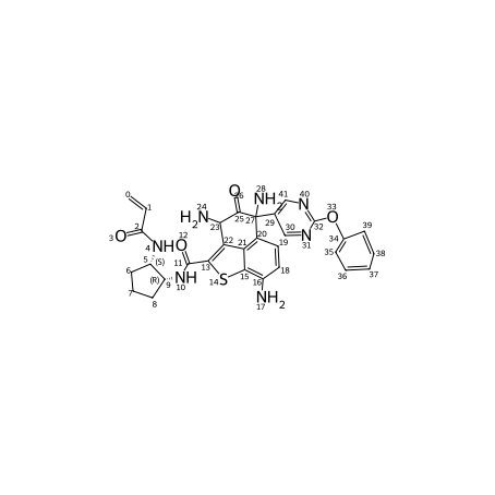 C=CC(=O)N[C@H]1CCC[C@H]1NC(=O)c1sc2c(N)ccc3c2c1C(N)C(=O)C3(N)c1cnc(Oc2ccccc2)nc1